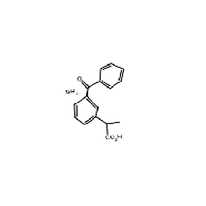 CC(C(=O)O)c1cccc(C(=O)c2ccccc2)c1.[SrH2]